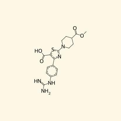 COC(=O)C1CCN(c2nc(-c3ccc(NC(=N)N)cc3)c(C(=O)O)s2)CC1